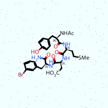 CSCC[C@H](NC(=O)[C@@H](Cc1ccc(O)cc1)NC(C)=O)C(=O)N[C@@H](CC(=O)O)C(=O)N[C@@H](Cc1cccc(Br)c1)C(N)=O